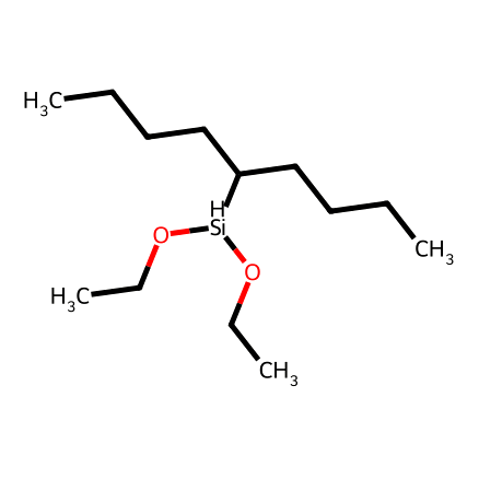 CCCCC(CCCC)[SiH](OCC)OCC